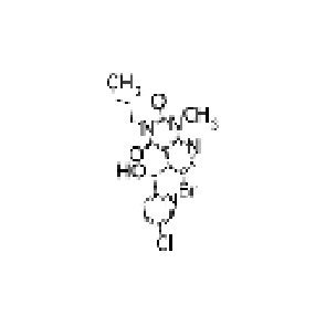 CCCCn1c(=O)c2c(C(O)c3ccc(Cl)cn3)c(Br)cnc2n(C)c1=O